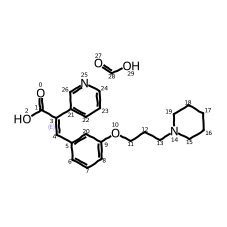 O=C(O)/C(=C/c1cccc(OCCCN2CCCCC2)c1)c1cccnc1.O=CO